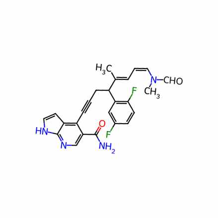 C/C(=C\C=C/N(C)C=O)C(CC#Cc1c(C(N)=O)cnc2[nH]ccc12)c1cc(F)ccc1F